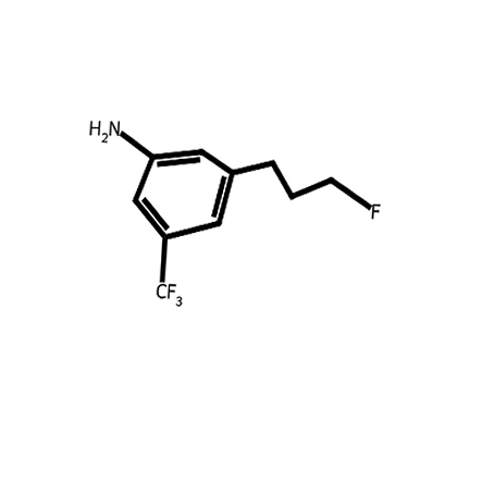 Nc1cc(CCCF)cc(C(F)(F)F)c1